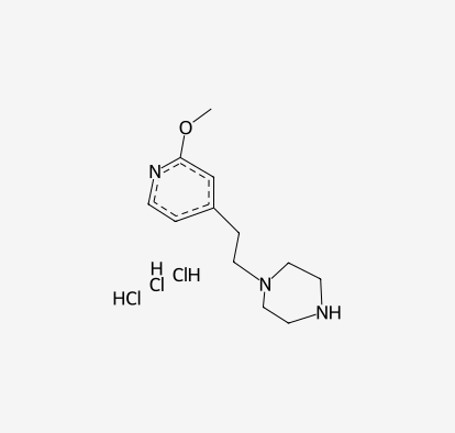 COc1cc(CCN2CCNCC2)ccn1.Cl.Cl.Cl